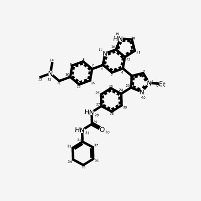 CCn1cc(-c2cc(-c3ccc(CN(C)C)cc3)nc3[nH]ccc23)c(-c2ccc(NC(=O)NC3=CCCC=C3)cc2)n1